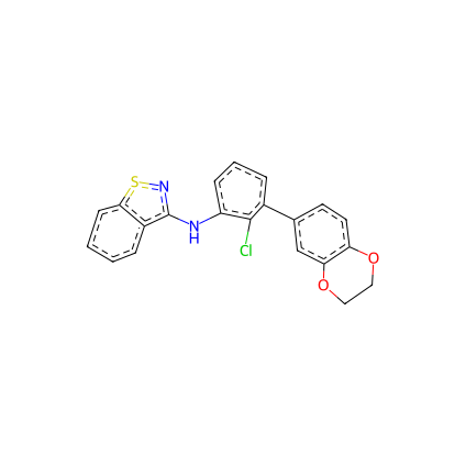 Clc1c(Nc2nsc3ccccc23)cccc1-c1ccc2c(c1)OCCO2